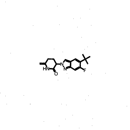 C=C1CCC(n2cc3cc(C(C)(C)C)c(F)cc3n2)C(=O)N1